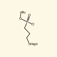 CCCCCCCCCCP(=O)(Cl)OCCCC